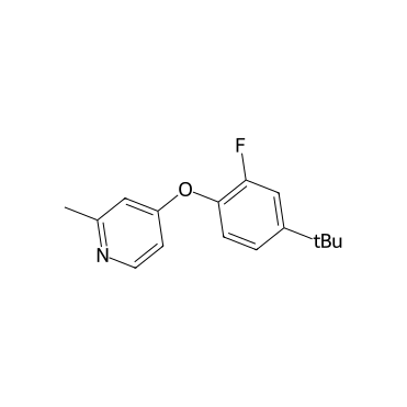 Cc1cc(Oc2ccc(C(C)(C)C)cc2F)ccn1